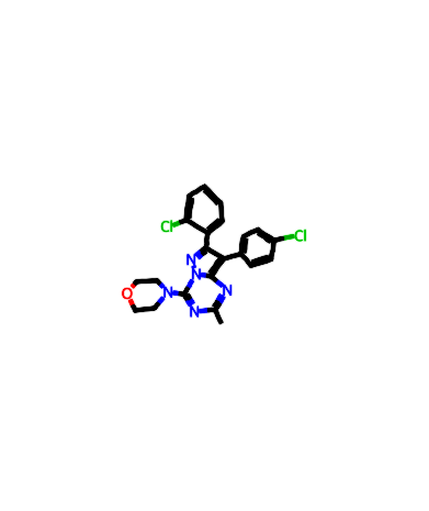 Cc1nc(N2CCOCC2)n2nc(-c3ccccc3Cl)c(-c3ccc(Cl)cc3)c2n1